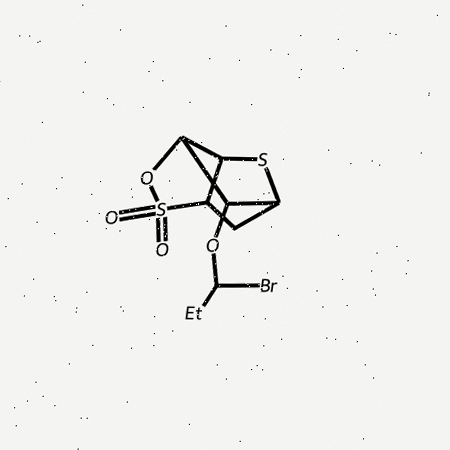 CCC(Br)OC1C2CC3C(S2)C1OS3(=O)=O